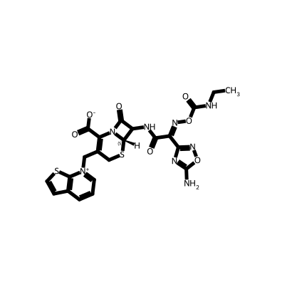 CCNC(=O)ON=C(C(=O)NC1C(=O)N2C(C(=O)[O-])=C(C[n+]3cccc4ccsc43)CS[C@@H]12)c1noc(N)n1